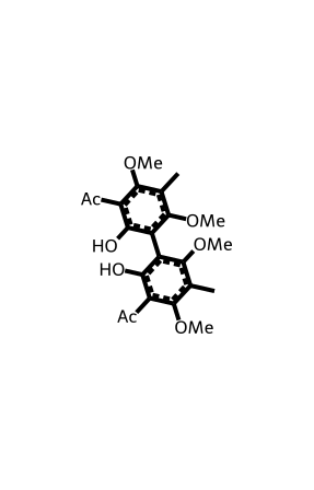 COc1c(C)c(OC)c(-c2c(O)c(C(C)=O)c(OC)c(C)c2OC)c(O)c1C(C)=O